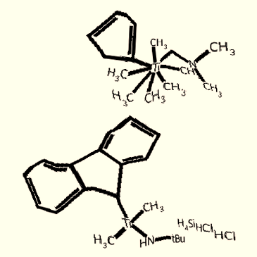 CC(C)(C)[NH][Ti]([CH3])([CH3])[CH]1c2ccccc2-c2ccccc21.CN(C)[CH2][Ti]([CH3])([CH3])([CH3])([CH3])([CH3])([CH3])[C]1=CC=CC1.Cl.Cl.[SiH4]